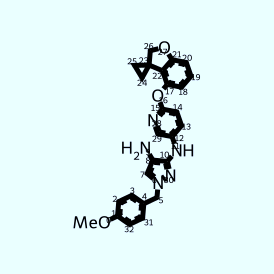 COc1ccc(Cn2cc(N)c(Nc3ccc(Oc4cccc5c4C4(CC4)CO5)nc3)n2)cc1